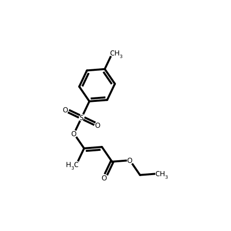 CCOC(=O)C=C(C)OS(=O)(=O)c1ccc(C)cc1